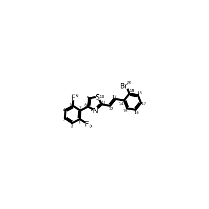 Fc1cccc(F)c1-c1csc(/C=C/c2ccccc2Br)n1